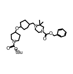 CC(C)(C)OC(=O)N1CCC(OC2CCC(CN3CCN(C(=O)OCc4ccccc4)CC3(C)C)CC2)CC1